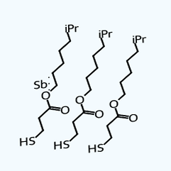 CC(C)CCCCCOC(=O)CCS.CC(C)CCCCCOC(=O)CCS.CC(C)CCCCCOC(=O)CCS.[Sb]